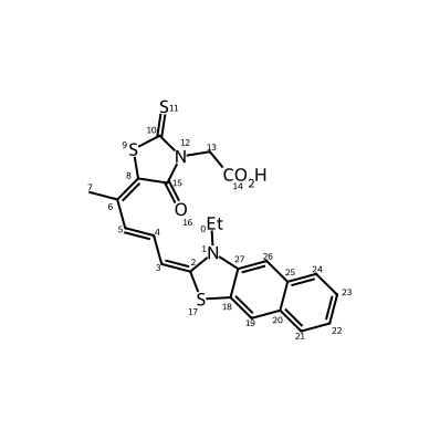 CCN1C(=CC=CC(C)=C2SC(=S)N(CC(=O)O)C2=O)Sc2cc3ccccc3cc21